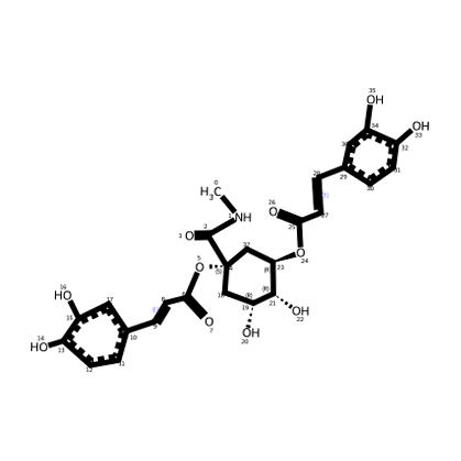 CNC(=O)[C@]1(OC(=O)/C=C/c2ccc(O)c(O)c2)C[C@@H](O)[C@@H](O)[C@H](OC(=O)/C=C/c2ccc(O)c(O)c2)C1